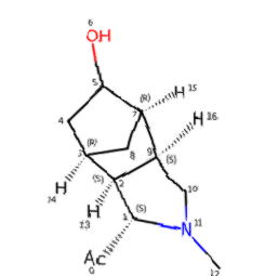 CC(=O)[C@@H]1[C@H]2[C@H]3CC(O)[C@H](C3)[C@H]2CN1C